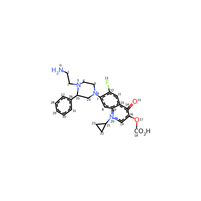 NCCN1CCN(c2cc3c(cc2F)c(=O)c(OC(=O)O)cn3C2CC2)CC1c1ccccc1